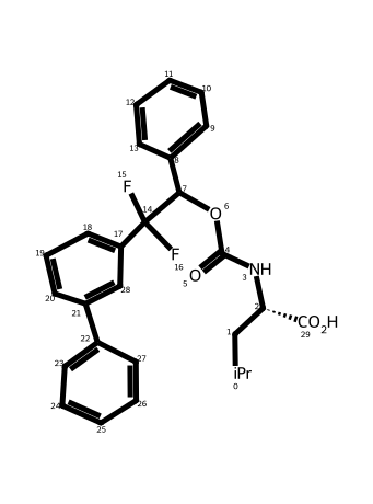 CC(C)C[C@H](NC(=O)OC(c1ccccc1)C(F)(F)c1cccc(-c2ccccc2)c1)C(=O)O